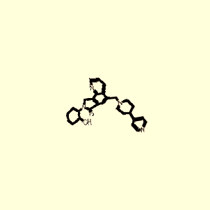 O=C1c2cc(CN3CCC(c4ccncc4)CC3)c3cccnc3c2CN1C1CCCCC1O